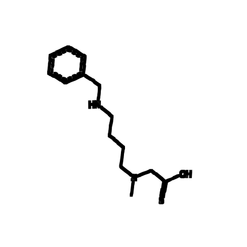 CN(CCCCNCc1ccccc1)CC(O)=S